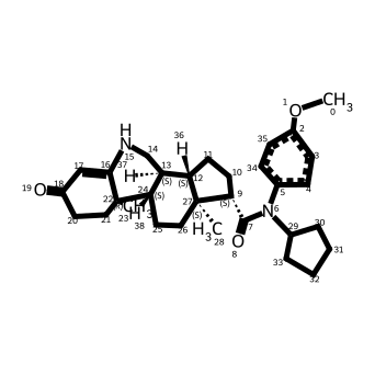 COc1ccc(N(C(=O)[C@H]2CC[C@H]3[C@@H]4CNC5=CC(=O)CC[C@]5(C)[C@H]4CC[C@]23C)C2CCCC2)cc1